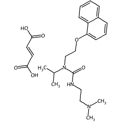 CC(C)N(CCOc1cccc2ccccc12)C(=O)NCCN(C)C.O=C(O)C=CC(=O)O